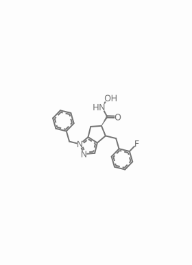 O=C(NO)[C@@H]1Cc2c(cnn2Cc2ccccc2)C1Cc1ccccc1F